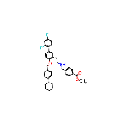 COC(=O)c1ccc(CNCCc2cc(-c3ccc(F)cc3F)ccc2OCc2ccc(C3CCCCC3)cc2)cc1